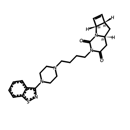 O=C1C[C@@H]2C[C@H]3C=C[C@H]3N2C(=O)N1CCCCN1CCN(c2nsc3ccccc23)CC1